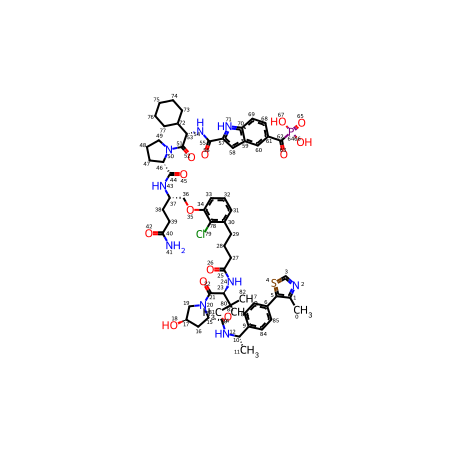 Cc1ncsc1-c1ccc([C@H](C)NC(=O)[C@@H]2C[C@@H](O)CN2C(=O)[C@@H](NC(=O)CCCc2cccc(OC[C@H](CCC(N)=O)NC(=O)[C@@H]3CCCN3C(=O)[C@@H](NC(=O)c3cc4cc(C(=O)P(=O)(O)O)ccc4[nH]3)C3CCCCC3)c2Cl)C(C)(C)C)cc1